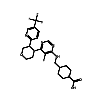 O=C(O)N1CCC(CNc2ncnc(N3CCOCC3c3ccc(C(F)(F)F)cn3)c2F)CC1